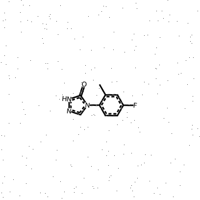 Cc1cc(F)ccc1-n1cn[nH]c1=O